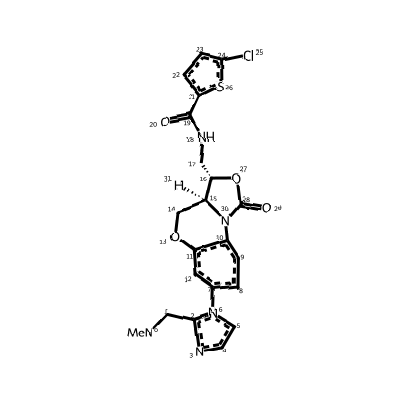 CNCc1nccn1-c1ccc2c(c1)OC[C@H]1[C@H](CNC(=O)c3ccc(Cl)s3)OC(=O)N21